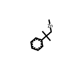 [CH3][Zn][CH2]C(C)(C)c1ccccc1